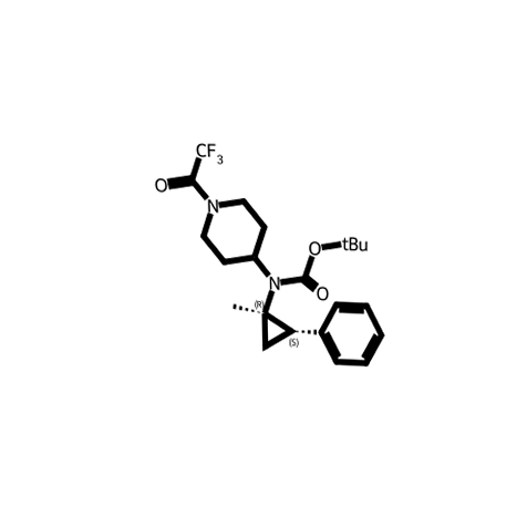 CC(C)(C)OC(=O)N(C1CCN(C(=O)C(F)(F)F)CC1)[C@]1(C)C[C@H]1c1ccccc1